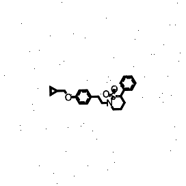 O=S1(=O)C(c2ccccc2)CCCN1CCc1ccc(OCC2CC2)cc1